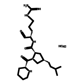 CC(C)CC[C@H]1C[C@@H](C(=O)N[C@H](C=O)CCCNC(=N)N)N(C(=O)[C@H]2CCCCN2)C1.Cl.Cl